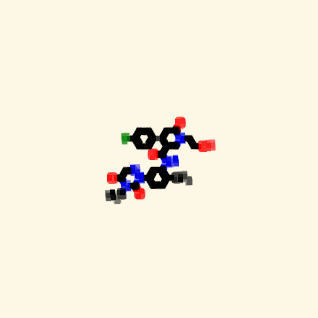 Cc1ccc(-n2ncc(=O)n(C)c2=O)cc1NC(=O)C1=CN(CCO)C(=O)C[C@H]1c1ccc(F)cc1